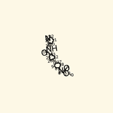 CCOC(=O)N(C)c1ccc(-c2ccc(C(=O)NCc3cccnc3)cc2)cc1